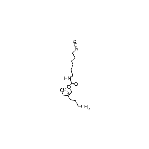 CCCCC(CC)COC(=O)NCCCCCCN=C=O